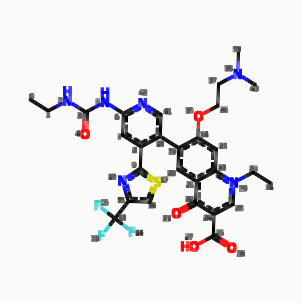 CCNC(=O)Nc1cc(-c2nc(C(F)(F)F)cs2)c(-c2cc3c(=O)c(C(=O)O)cn(CC)c3cc2OCCN(C)C)cn1